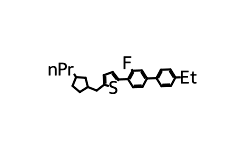 CCCC1CCC(Cc2ccc(-c3ccc(-c4ccc(CC)cc4)cc3F)s2)C1